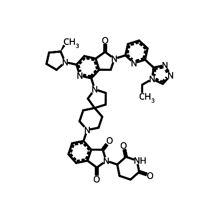 CCn1cnnc1-c1cccc(N2Cc3c(cc(N4CCC[C@H]4C)nc3N3CCC4(CCN(c5cccc6c5C(=O)N(C5CCC(=O)NC5=O)C6=O)CC4)C3)C2=O)n1